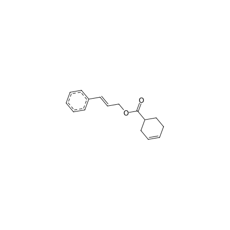 O=C(OCC=Cc1ccccc1)C1CC=CCC1